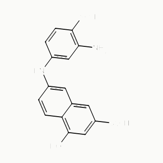 Nc1cc(Nc2ccc3c(O)cc(S(=O)(=O)O)cc3c2)ccc1S(=O)(=O)O